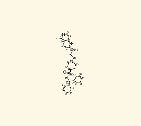 Cc1nccc2nc(NCCN3CCN(S(=O)(=O)CC(c4ccccc4)c4ccccc4)CC3)ccc12